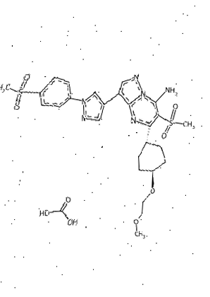 COCCO[C@H]1CC[C@H](c2nc3c(-c4cnn(-c5ccc(S(C)(=O)=O)cc5)c4)cnn3c(N)c2S(C)(=O)=O)CC1.O=C(O)O